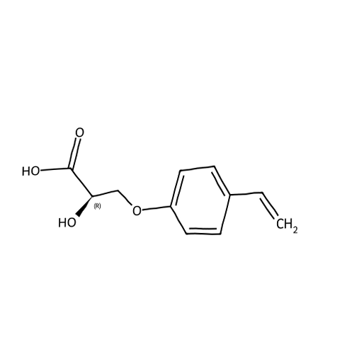 C=Cc1ccc(OC[C@@H](O)C(=O)O)cc1